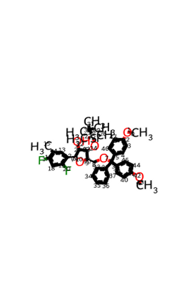 COc1ccc(C(OC[C@H]2O[C@@H](c3cc(C)c(F)cc3F)C(O)[C@@H]2O[Si](C)(C)C(C)(C)C)(c2ccccc2)c2ccc(OC)cc2)cc1